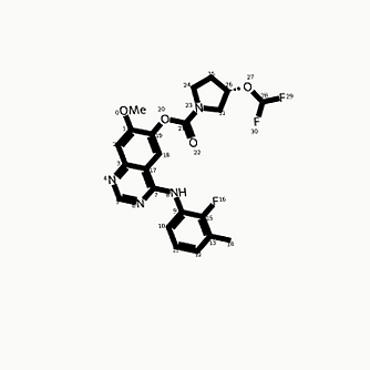 COc1cc2ncnc(Nc3cccc(C)c3F)c2cc1OC(=O)N1CC[C@H](OC(F)F)C1